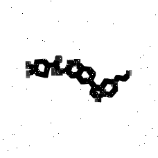 O=C(Nc1cc2cc(-c3cnn4c3CN(CCF)CC4)ccc2nn1)C1CCC(F)(F)CC1